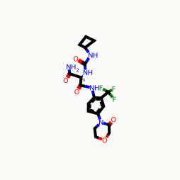 NC(=O)[C@H](NC(=O)NC1CCC1)C(=O)Nc1ccc(N2CCOCC2=O)cc1C(F)(F)F